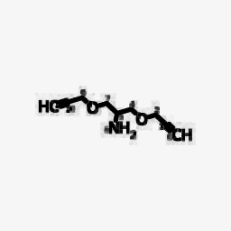 C#CCOCC(N)COCC#C